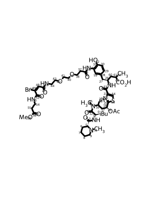 CC[C@H](C)[C@H](NC(=O)[C@H]1CCCCN1C)C(=O)N(C)C(C[C@@H](OC(C)=O)c1nc(C(=O)N[C@@H](Cc2ccc(O)c(NC(=O)CCOCCOCCNC(=O)/C=C(/Br)C(=O)NCCC(=O)OC)c2)CC(C)C(=O)O)cs1)C(C)C